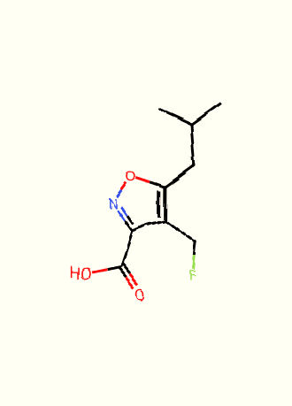 CC(C)Cc1onc(C(=O)O)c1CF